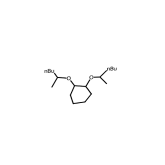 CCCCC(C)OC1CCCCC1OC(C)CCCC